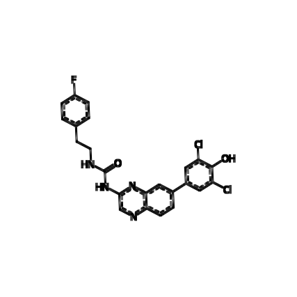 O=C(NCCc1ccc(F)cc1)Nc1cnc2ccc(-c3cc(Cl)c(O)c(Cl)c3)cc2n1